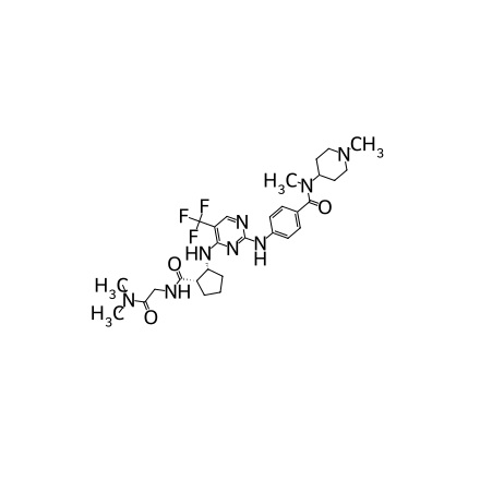 CN1CCC(N(C)C(=O)c2ccc(Nc3ncc(C(F)(F)F)c(N[C@@H]4CCC[C@@H]4C(=O)NCC(=O)N(C)C)n3)cc2)CC1